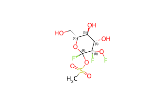 CS(=O)(=O)O[C@]1(F)O[C@H](CO)[C@@H](O)[C@H](O)[C@]1(F)OF